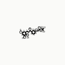 COc1cc(C=CC(=O)c2cccc(OCC(=O)OC(C)(C)C)c2)c(OC)c(OC)c1